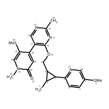 COc1ccc(C2C(C)C2COc2nc(C)ncc2-c2cc(=O)n(C)cc2SC)nc1